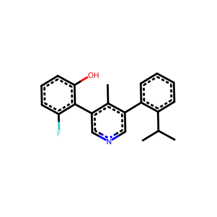 Cc1c(-c2ccccc2C(C)C)cncc1-c1c(O)cccc1F